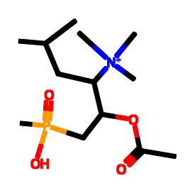 CC(=O)OC(CP(C)(=O)O)C(CC(C)C)[N+](C)(C)C